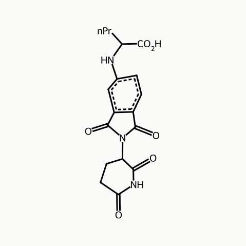 CCCC(Nc1ccc2c(c1)C(=O)N(C1CCC(=O)NC1=O)C2=O)C(=O)O